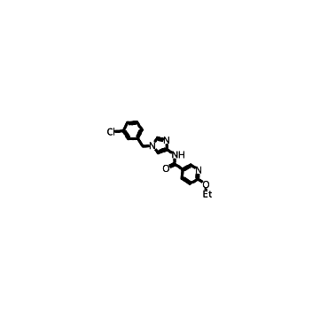 CCOc1ccc(C(=O)Nc2cn(Cc3cccc(Cl)c3)cn2)cn1